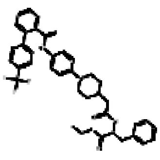 CCOC(=O)[C@H](Cc1ccccc1)NC(=O)CC1CCN(c2ccc(NC(=O)c3ccccc3-c3ccc(C(F)(F)F)cc3)cc2)CC1